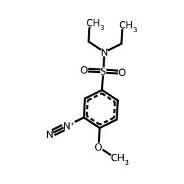 CCN(CC)S(=O)(=O)c1ccc(OC)c([N+]#N)c1